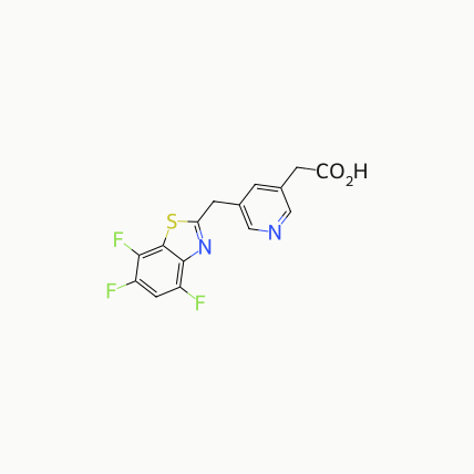 O=C(O)Cc1cncc(Cc2nc3c(F)cc(F)c(F)c3s2)c1